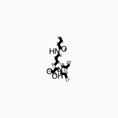 CCCC(=O)NCCCC[C@@H](C(=O)O)N(CCC)CCC